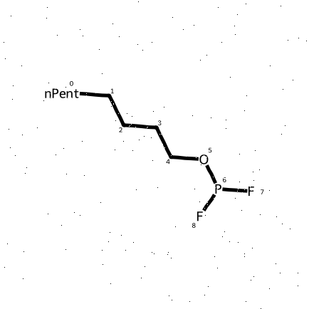 CCCCCCCCCOP(F)F